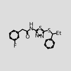 CCC(Sc1nnc(NC(=O)Cc2cccc(F)c2)s1)c1ccccc1